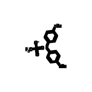 CCCCc1ccc([I+]c2ccc(CCCC)cc2)cc1.O=S(=O)([O-])C(F)(F)F